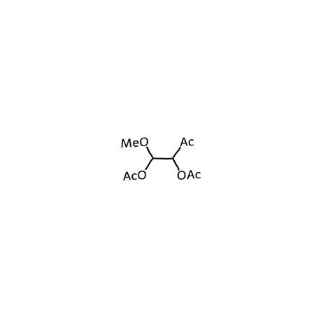 COC(OC(C)=O)C(OC(C)=O)C(C)=O